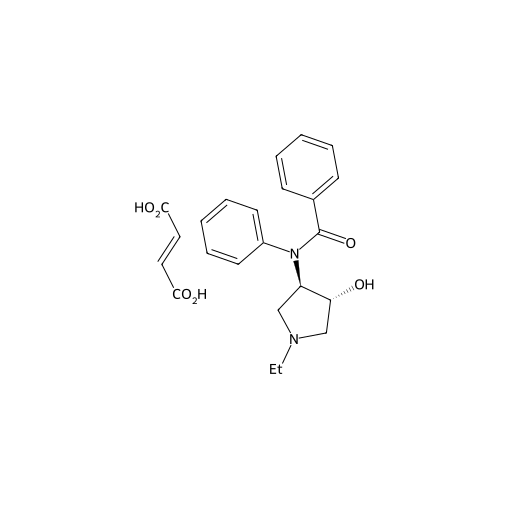 CCN1C[C@@H](O)[C@H](N(C(=O)c2ccccc2)c2ccccc2)C1.O=C(O)C=CC(=O)O